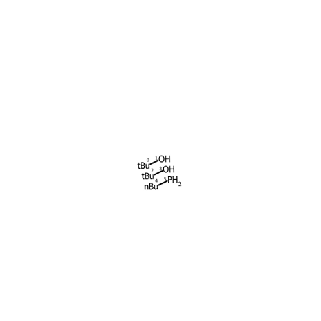 CC(C)(C)O.CC(C)(C)O.CCCCP